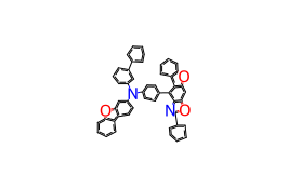 c1ccc(-c2cccc(N(c3ccc(-c4c5nc(-c6ccccc6)oc5cc5oc6ccccc6c45)cc3)c3ccc4c(c3)oc3ccccc34)c2)cc1